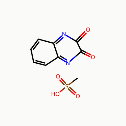 CS(=O)(=O)O.O=C1N=c2ccccc2=NC1=O